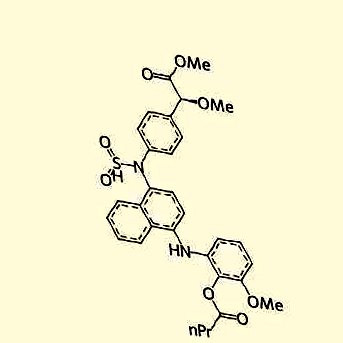 CCCC(=O)Oc1c(Nc2ccc(N(c3ccc([C@H](OC)C(=O)OC)cc3)[SH](=O)=O)c3ccccc23)cccc1OC